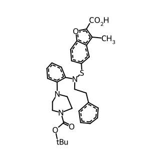 Cc1c(C(=O)O)oc2ccc(SN(CCc3ccccc3)c3ccccc3N3CCN(C(=O)OC(C)(C)C)CC3)cc12